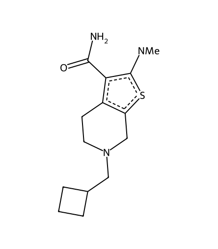 CNc1sc2c(c1C(N)=O)CCN(CC1CCC1)C2